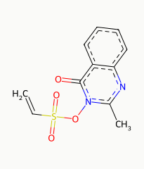 C=CS(=O)(=O)On1c(C)nc2ccccc2c1=O